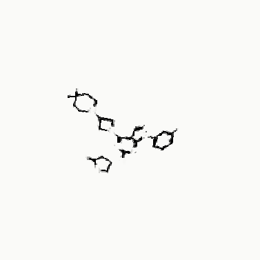 CC1(O)CCN(C2CN(c3nc(N[C@@H]4CNC(=O)C4)nc4c3cnn4-c3cccc(C(F)(F)F)c3)C2)CC1